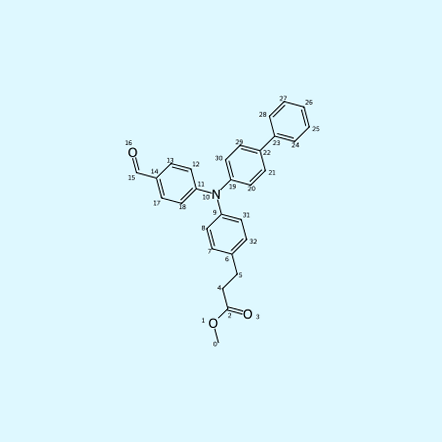 COC(=O)CCc1ccc(N(c2ccc(C=O)cc2)c2ccc(-c3ccccc3)cc2)cc1